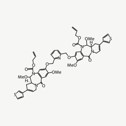 C=CCOC(=O)N1c2cc(OCc3cccc(COc4cc5c(cc4OC)C(=O)N4CC=C(c6ccsc6)C[C@H]4C(OC)N5C(=O)OCC=C)n3)c(OC)cc2C(=O)N2CC=C(c3ccsc3)C[C@H]2C1OC